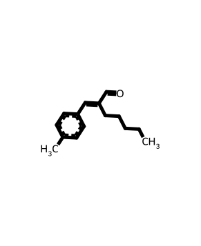 CCCCC/C(C=O)=C\c1ccc(C)cc1